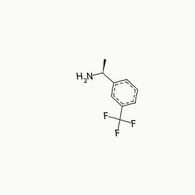 C[C@H](N)c1cccc(C(F)(F)F)c1